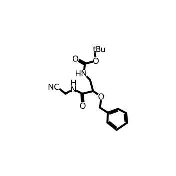 CC(C)(C)OC(=O)NCC(OCc1ccccc1)C(=O)NCC#N